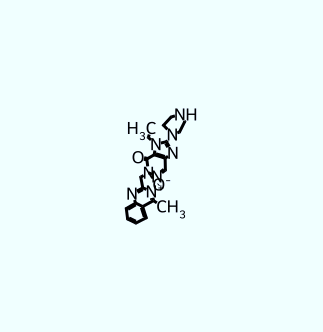 CCn1c(N2CCNCC2)nc2cnn(Cc3nc4ccccc4c(C)[n+]3[O-])c(=O)c21